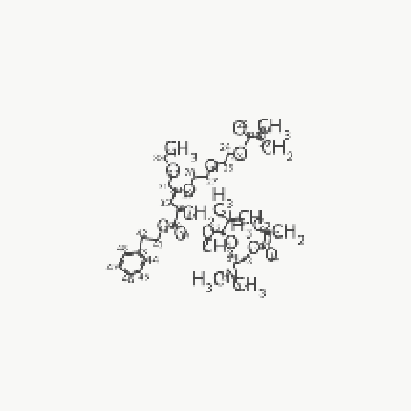 C=C(C)C(=O)OC.C=C(C)C(=O)OCCN(C)C.C=C(C)C(=O)OCCOCCOC(COCC)CC(=C)C(=O)OCCc1ccccc1